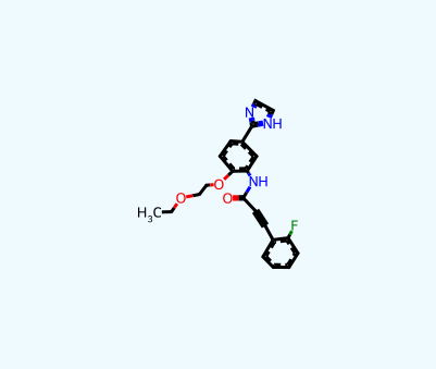 CCOCCOc1ccc(-c2ncc[nH]2)cc1NC(=O)C#Cc1ccccc1F